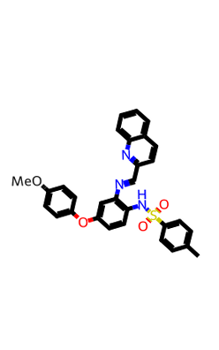 COc1ccc(Oc2ccc(NS(=O)(=O)c3ccc(C)cc3)c(N=Cc3ccc4ccccc4n3)c2)cc1